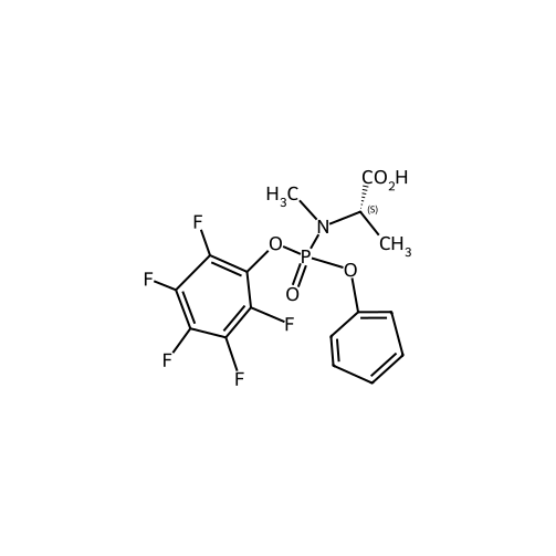 C[C@@H](C(=O)O)N(C)P(=O)(Oc1ccccc1)Oc1c(F)c(F)c(F)c(F)c1F